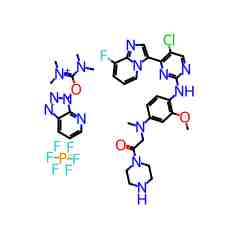 CN(C)C(On1nnc2cccnc21)=[N+](C)C.COc1cc(N(C)CC(=O)N2CCNCC2)ccc1Nc1ncc(Cl)c(-c2cnc3c(F)cccn23)n1.F[P-](F)(F)(F)(F)F